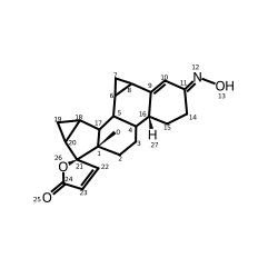 C[C@]12CCC3C(C4CC4C4=C/C(=N/O)CC[C@@H]43)C1C1CC1[C@@]21C=CC(=O)O1